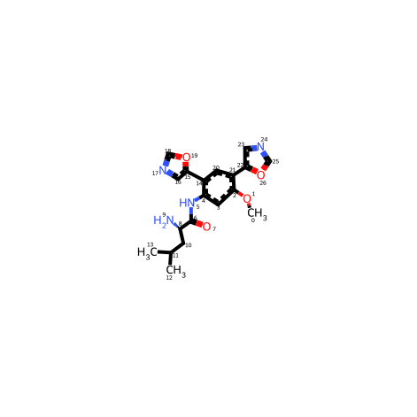 COc1cc(NC(=O)[C@H](N)CC(C)C)c(-c2cnco2)cc1-c1cnco1